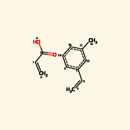 C=CC(=O)O.C=Cc1cccc(C)c1